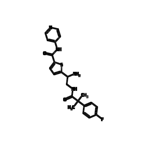 CC(C)(C(=O)NCC(N)c1ccc(C(=O)Nc2ccncc2)s1)c1ccc(F)cc1